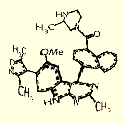 COc1cc2c(cc1-c1c(C)noc1C)[nH]c1nc(C)nc(-c3ccc(C(=O)N4CCNC(C)C4)c4ccccc34)c12